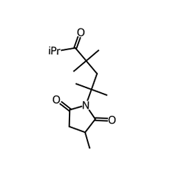 CC(C)C(=O)C(C)(C)CC(C)(C)N1C(=O)CC(C)C1=O